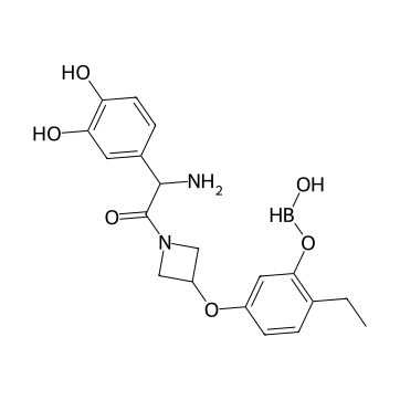 CCc1ccc(OC2CN(C(=O)C(N)c3ccc(O)c(O)c3)C2)cc1OBO